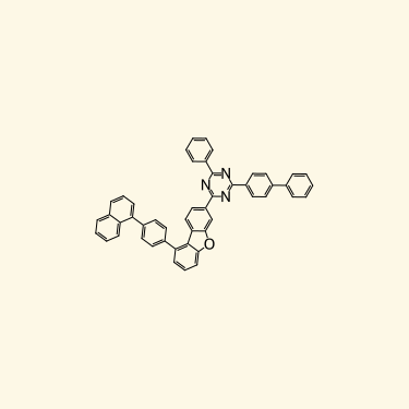 c1ccc(-c2ccc(-c3nc(-c4ccccc4)nc(-c4ccc5c(c4)oc4cccc(-c6ccc(-c7cccc8ccccc78)cc6)c45)n3)cc2)cc1